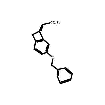 CCOC(=O)/C=C1/Cc2ccc(OCc3ccccc3)cc21